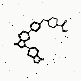 CC(C)(C)C(=O)N1CCN(Cc2ccc(-c3cnc4[nH]cc(-c5ccc6[nH]ccc6c5)c4c3)cc2)CC1